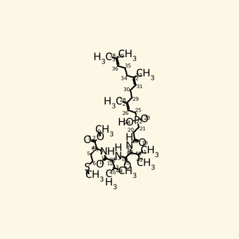 COC(=O)[C@H](CCSC)NC(=O)[C@@H](NC(=O)[C@@H](NC(=O)CCP(=O)(O)CC=C(C)CCC=C(C)CCC=C(C)C)C(C)C)C(C)C